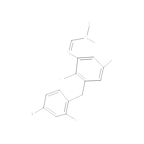 CCN(C)/C=N\c1cc(C)cc(Cc2ccc(F)cc2Br)c1Cl